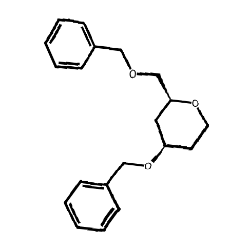 c1ccc(COC[C@@H]2C[C@H](OCc3ccccc3)CCO2)cc1